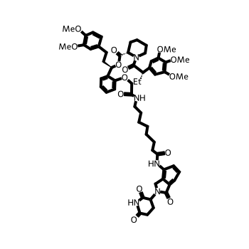 CC[C@H](C(=O)N1CCCC[C@H]1C(=O)O[C@H](CCc1ccc(OC)c(OC)c1)c1ccccc1OCC(=O)NCCCCCCCC(=O)Nc1cccc2c1CN(C1CCC(=O)NC1=O)C2=O)c1cc(OC)c(OC)c(OC)c1